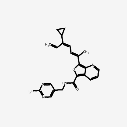 C=C/C(=C\C=C(/C)c1oc(C(=O)NCc2cnc(C(F)(F)F)nc2)c2cccnc12)C1CC1